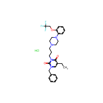 CCc1cn(Cc2ccccc2)c(=O)n(CCCN2CCN(c3ccccc3OCC(F)(F)F)CC2)c1=O.Cl